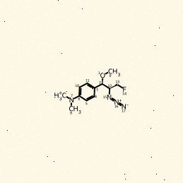 CO[C@H](c1ccc(N(C)C)cc1)[C@@H](CF)N=[N+]=[N-]